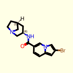 O=C(N[C@@H]1C[C@@H]2CCN(C2)C1)c1ccc2cc(Br)cn2c1